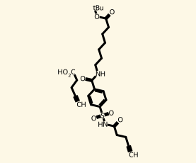 C#CCCC(=O)NS(=O)(=O)c1ccc(C(=O)NCCCCCCC(=O)OC(C)(C)C)cc1.C#CCCC(=O)O